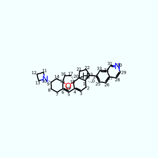 C[C@]12CC=C3C=C4CC[C@H](N5CCC5)C[C@]45CC[C@]3(O5)[C@@H]1CCC2c1ccc2ccncc2c1